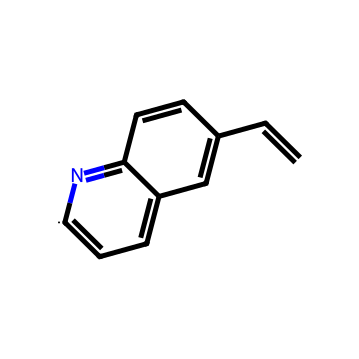 C=Cc1ccc2n[c]ccc2c1